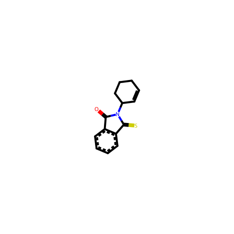 O=C1c2ccccc2C(=S)N1C1C=CCCC1